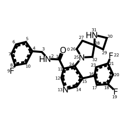 O=C(NCc1cccc(F)c1)c1cncc(-c2cc(F)cc(F)c2)c1N1CCC2(CCN2)C1